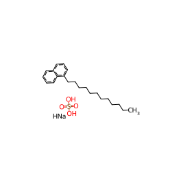 CCCCCCCCCCCCc1cccc2ccccc12.O=S(=O)(O)O.[NaH]